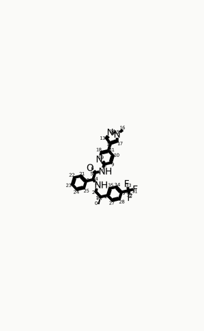 C[C@@H](CNC(C(=O)Nc1ccc(-c2cnn(C)c2)cn1)c1ccccc1)c1ccc(C(F)(F)F)cc1